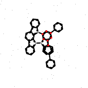 c1ccc(-c2ccc(-c3cc(-c4ccccc4)nc(-n4c5ccccc5c5ccc6c7ccccc7n(-n7c8ccccc8c8ccccc87)c6c54)c3)cc2)cc1